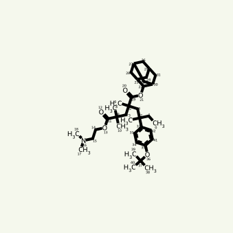 CCC(C)(CC(C)(CC(C)(C)C(=O)OCCN(C)C)C(=O)OC1C2CC3CC(C2)CC1C3)c1ccc(OC(C)(C)C)cc1